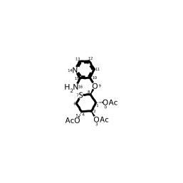 CC(=O)O[C@@H]1[C@@H](OC(C)=O)[C@H](OC(C)=O)CS[C@H]1Oc1cccnc1N